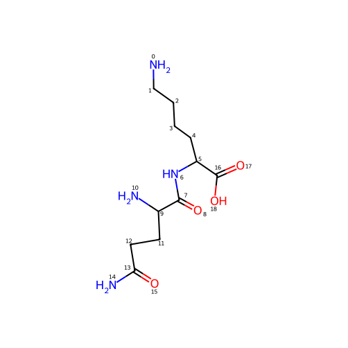 NCCCCC(NC(=O)C(N)CCC(N)=O)C(=O)O